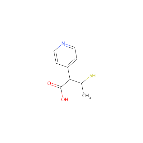 CC(S)C(C(=O)O)c1ccncc1